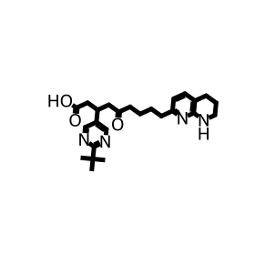 CC(C)(C)c1ncc(C(CC(=O)O)CC(=O)CCCCc2ccc3c(n2)NCCC3)cn1